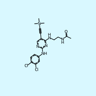 CC(=O)NCCNc1nc(Nc2ccc(Cl)c(Cl)c2)ncc1C#C[Si](C)(C)C